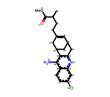 COC(=O)C(C)CCC1=CC2Cc3nc4cc(Cl)ccc4c(N)c3C(C1)C2